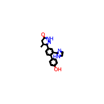 CC1CC(=O)NN=C1c1ccc(-c2ccc(O)cc2)c(-c2ncc[nH]2)c1